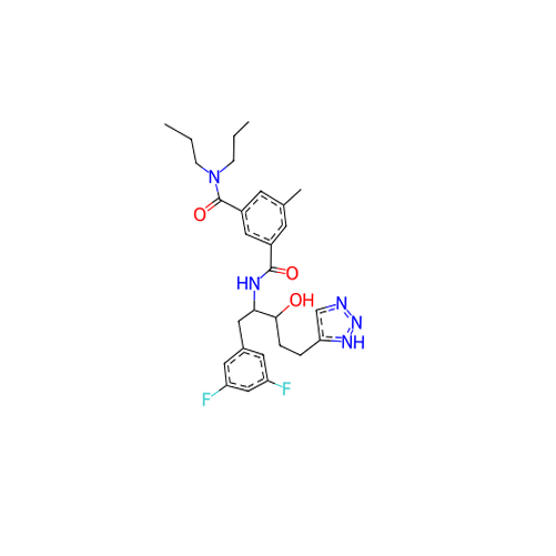 CCCN(CCC)C(=O)c1cc(C)cc(C(=O)NC(Cc2cc(F)cc(F)c2)C(O)CCc2cnn[nH]2)c1